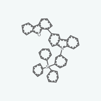 c1ccc([Si](c2ccccc2)(c2ccccc2)c2cccc(-n3c4ccccc4c4cc(-c5cccc6c5oc5ccccc56)ccc43)c2)cc1